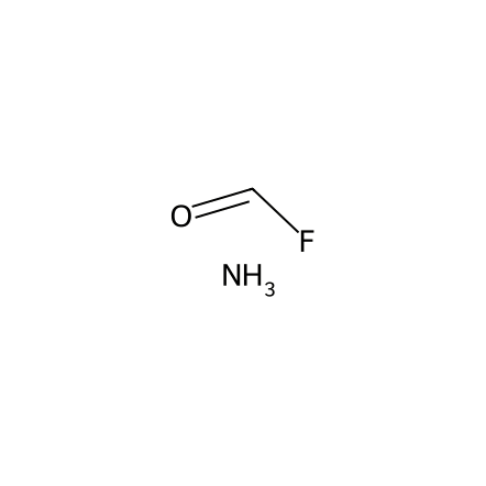 N.O=CF